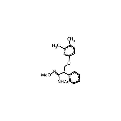 CON=C(NC(C)=O)C(COc1ccc(C)c(C)c1)c1ccccc1